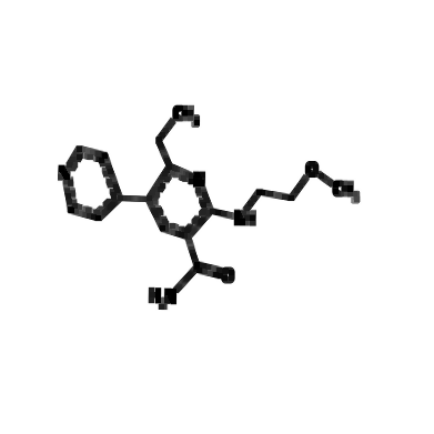 CCc1nc(NCCOC)c(C(N)=O)cc1-c1ccncc1